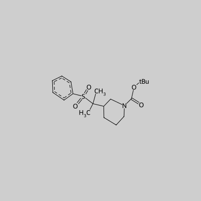 CC(C)(C)OC(=O)N1CCCC(C(C)(C)S(=O)(=O)c2ccccc2)C1